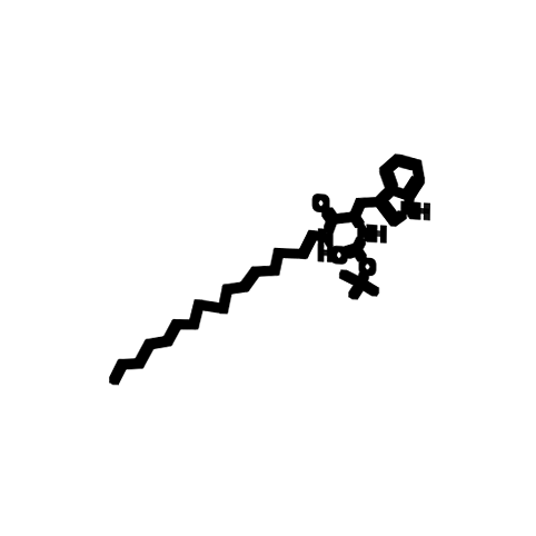 CCCCCCCCCCCCCCCCNC(=O)C(Cc1c[nH]c2ccccc12)NC(=O)OC(C)(C)C